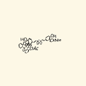 COc1cc(C=CC(=O)CC(=O)C=Cc2ccc(O)c(OC(C(=O)c3ccccc3OC(C)=O)C(=O)c3ccccc3OC(C)=O)c2)ccc1O